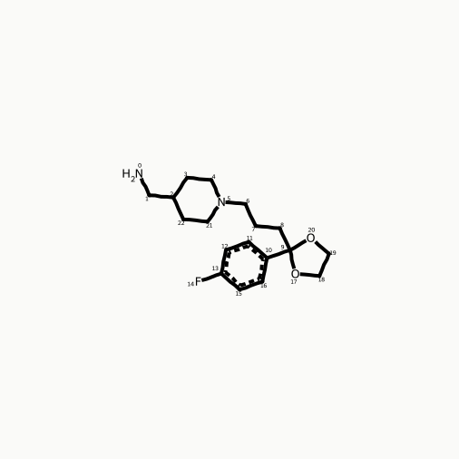 NCC1CCN(CCCC2(c3ccc(F)cc3)OCCO2)CC1